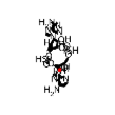 Nc1ncnc2c1ncn2[C@H]1[C@H](O)[C@@H]2O[P@](=O)(S)OC[C@H]3O[C@@H](n4cnc5c(N)ccnc54)[C@H](O[P@@](=O)(S)OCC24C[C@H]14)[C@@H]3O